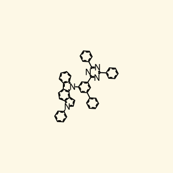 c1ccc(-c2cc(-c3nc(-c4ccccc4)nc(-c4ccccc4)n3)cc(-n3c4ccccc4c4ccc5c(ccn5-c5ccccc5)c43)c2)cc1